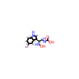 O=C(O)NCC(NO)c1c[nH]c2ccc(I)cc12